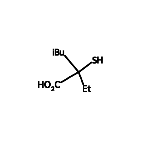 CCC(C)C(S)(CC)C(=O)O